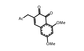 COc1cc2c(c(OC)c1)C(=O)C(=O)C(CC(C)=O)=C2